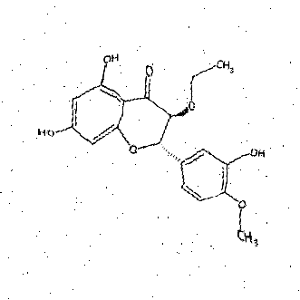 CCO[C@@H]1C(=O)c2c(O)cc(O)cc2O[C@H]1c1ccc(OC)c(O)c1